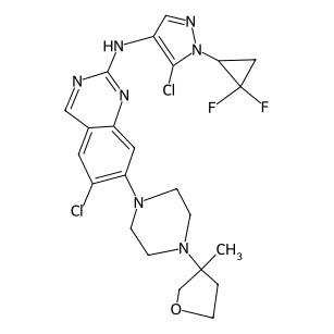 CC1(N2CCN(c3cc4nc(Nc5cnn(C6CC6(F)F)c5Cl)ncc4cc3Cl)CC2)CCOC1